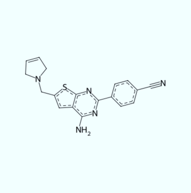 N#Cc1ccc(-c2nc(N)c3cc(CN4CC=CC4)sc3n2)cc1